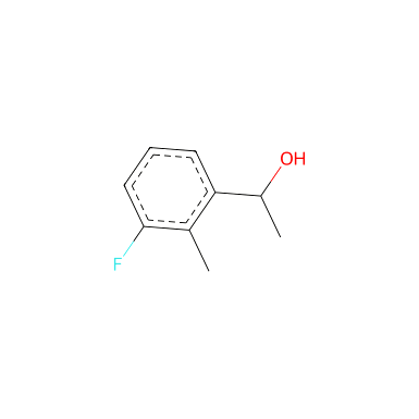 Cc1c(F)cccc1C(C)O